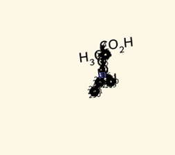 Cc1c(CC(=O)O)cccc1OCCO/N=C(\Cc1ccccn1)c1ccc(-c2ccccc2)cc1